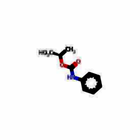 C[C@@H](OC(=O)Nc1ccccc1)C(=O)O